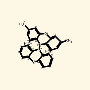 Cc1cc(C)c2c(c1)Oc1cc(C)cc(C)c1N2B1c2ccccc2Oc2ccccc21